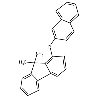 CC1(C)c2ccccc2-c2cccc([N]c3ccc4ccccc4c3)c21